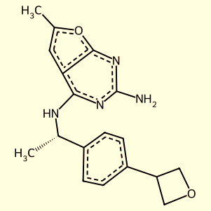 Cc1cc2c(N[C@@H](C)c3ccc(C4COC4)cc3)nc(N)nc2o1